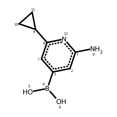 Nc1cc(B(O)O)cc(C2CC2)n1